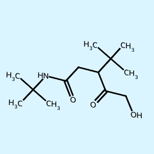 CC(C)(C)NC(=O)CC(C(=O)CO)C(C)(C)C